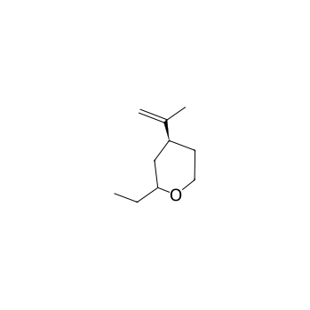 C=C(C)[C@H]1CCOC(CC)C1